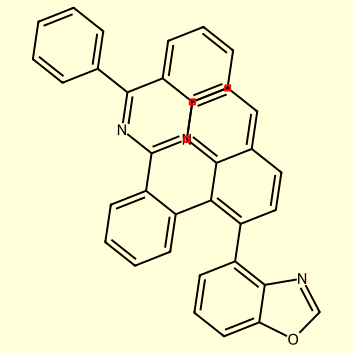 c1ccc(-c2nc(-c3ccccc3-c3c(-c4cccc5ocnc45)ccc4ccccc34)nc3ccccc23)cc1